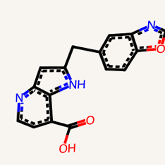 O=C(O)c1ccnc2cc(Cc3ccc4ocnc4c3)[nH]c12